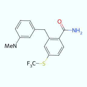 CNc1cccc(Cc2cc(SC(F)(F)F)ccc2C(N)=O)c1